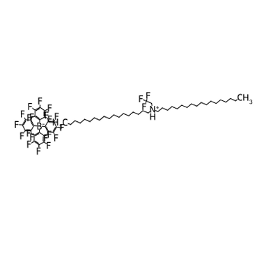 CCCCCCCCCCCCCCCCCC[NH+](CCCCCCCCCCCCCCCCCC)CC(F)(F)F.Fc1c(F)c(F)c([B-](c2c(F)c(F)c(F)c(F)c2F)(c2c(F)c(F)c(F)c(F)c2F)c2c(F)c(F)c(F)c(F)c2F)c(F)c1F